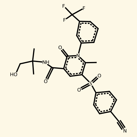 Cc1c(S(=O)(=O)c2ccc(C#N)cc2)cc(C(=O)NC(C)(C)CO)c(=O)n1-c1cccc(C(F)(F)F)c1